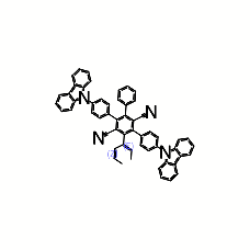 C/C=C\C(=C/C)c1c(C#N)c(-c2ccc(-n3c4ccccc4c4ccccc43)cc2)c(-c2ccccc2)c(C#N)c1-c1ccc(-n2c3ccccc3c3ccccc32)cc1